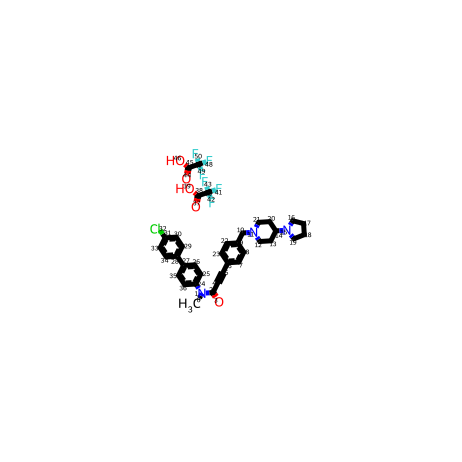 CN(C(=O)C#Cc1ccc(CN2CCC(N3CCCC3)CC2)cc1)c1ccc(-c2ccc(Cl)cc2)cc1.O=C(O)C(F)(F)F.O=C(O)C(F)(F)F